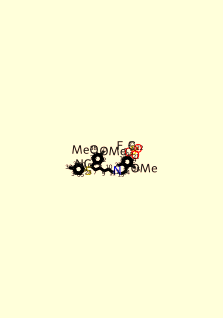 COc1ccc(C(C#N)(CCCCCN2CCc3c(cc(OS(=O)(=O)C(F)(F)F)cc3OC)C2)Sc2ccc(C)cc2)cc1OC